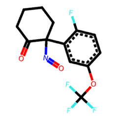 O=NC1(c2cc(OC(F)(F)F)ccc2F)CCCCC1=O